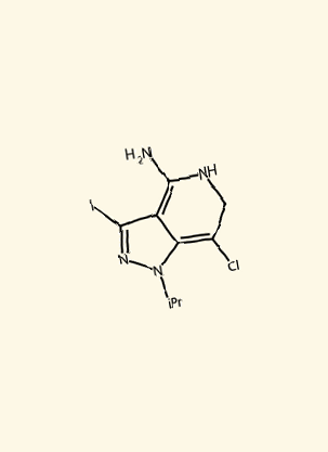 CC(C)n1nc(I)c2c1=C(Cl)CNC=2N